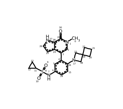 Cn1cc(-c2cc(NS(=O)(=O)C3CC3)ccc2N2CC3(CCC3)C2)c2cc[nH]c2c1=O